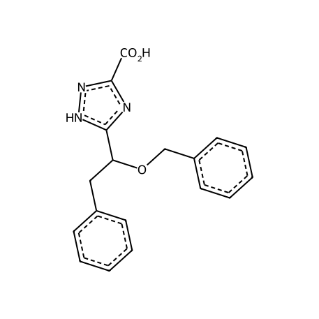 O=C(O)c1n[nH]c(C(Cc2ccccc2)OCc2ccccc2)n1